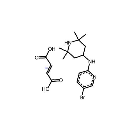 CC1(C)CC(Nc2ccc(Br)cn2)CC(C)(C)N1.O=C(O)/C=C/C(=O)O